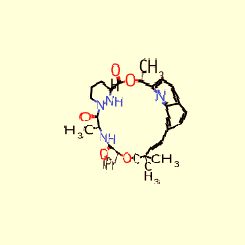 CC(C)[C@@H]1OCC(C)(C)/C=C/c2ccc3ccc(nc3c2)[C@@H](C)OC(=O)[C@@H]2CCCN(N2)C(=O)[C@H](C)NC1=O